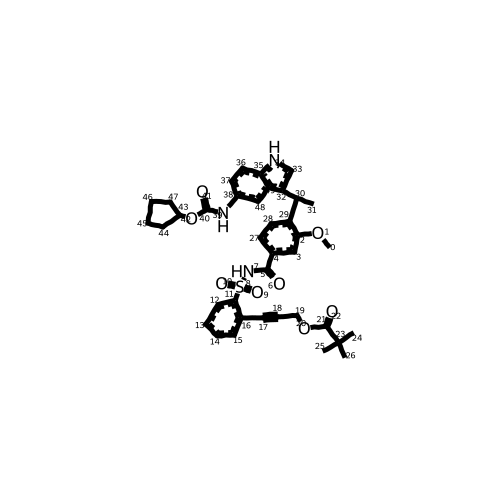 COc1cc(C(=O)NS(=O)(=O)c2ccccc2C#CCOC(=O)C(C)(C)C)ccc1C(C)c1c[nH]c2ccc(NC(=O)OC3CCCC3)cc12